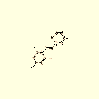 Cc1cc(C)c(COc2cc[c]cc2)c(C)c1